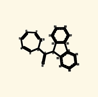 O=C(C1C=CC=CC=N1)C1c2ccccc2-c2ccccc21